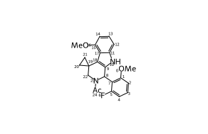 COc1cccc(F)c1C1c2[nH]c3cccc(OC)c3c2C2(CC2)CN1C(C)=O